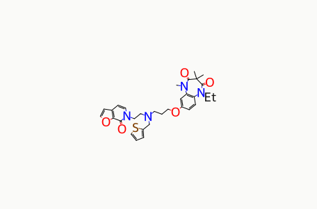 CCN1C(=O)C(C)(C)C(=O)N(C)c2cc(OCCCN(CCn3ccc4ccoc4c3=O)Cc3cccs3)ccc21